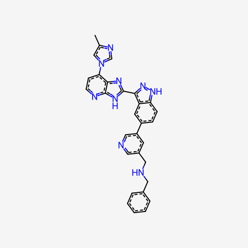 Cc1cn(-c2ccnc3[nH]c(-c4n[nH]c5ccc(-c6cncc(CNCc7ccccc7)c6)cc45)nc23)cn1